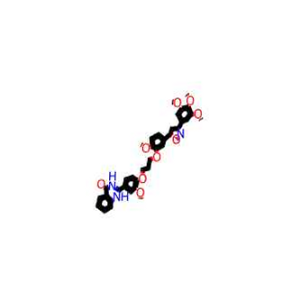 COc1cc(C2NC(=O)c3ccccc3N2)ccc1OCCCOc1cc(C2CC(c3cc(OC)c(OC)c(OC)c3)=NO2)ccc1OC